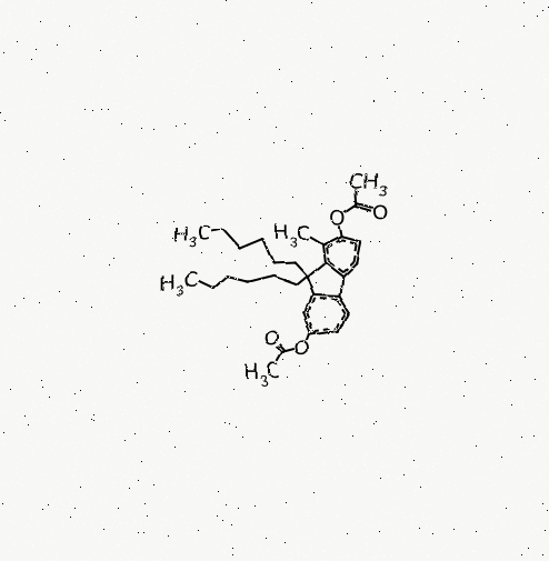 CCCCCCC1(CCCCCC)c2cc(OC(C)=O)ccc2-c2ccc(OC(C)=O)c(C)c21